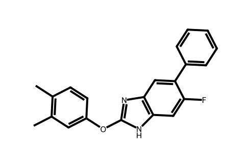 Cc1ccc(Oc2nc3cc(-c4ccccc4)c(F)cc3[nH]2)cc1C